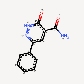 NC(=O)c1cc(-c2ccccc2)n[nH]c1=O